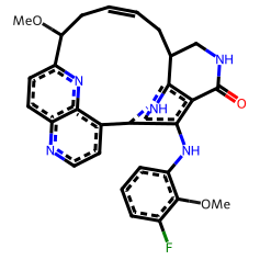 COc1c(F)cccc1Nc1c2[nH]c3c1C(=O)NCC3C/C=C\CC(OC)c1ccc3nccc-2c3n1